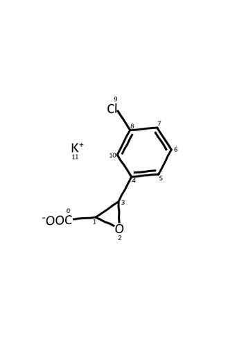 O=C([O-])C1OC1c1cccc(Cl)c1.[K+]